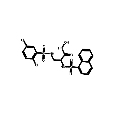 O=C(NO)C(CNS(=O)(=O)c1cc(Cl)ccc1Cl)NS(=O)(=O)c1cccc2ccccc12